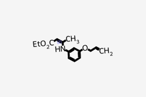 C=CCOc1cccc(N/C(C)=C\C(=O)OCC)c1